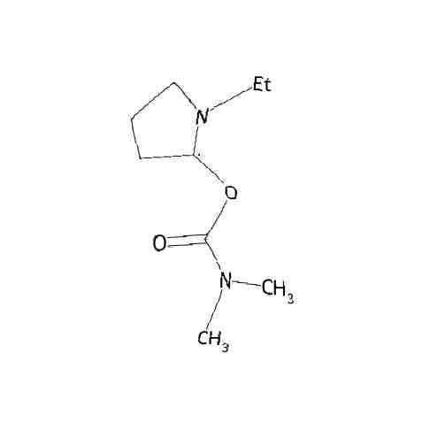 CCN1CCC[C]1OC(=O)N(C)C